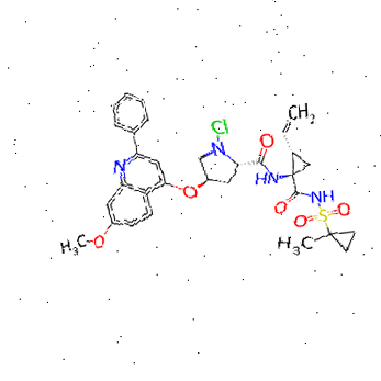 C=C[C@@H]1C[C@]1(NC(=O)[C@@H]1C[C@@H](Oc2cc(-c3ccccc3)nc3cc(OC)ccc23)CN1Cl)C(=O)NS(=O)(=O)C1(C)CC1